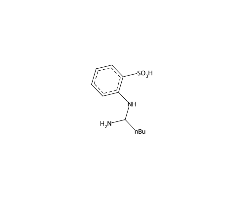 CCCCC(N)Nc1ccccc1S(=O)(=O)O